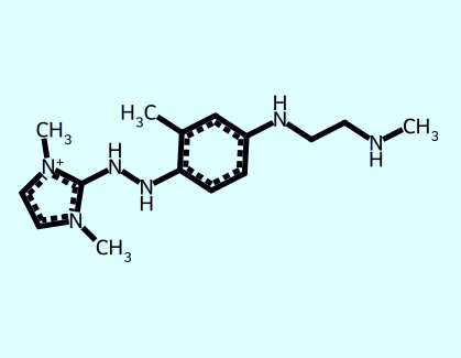 CNCCNc1ccc(NNc2n(C)cc[n+]2C)c(C)c1